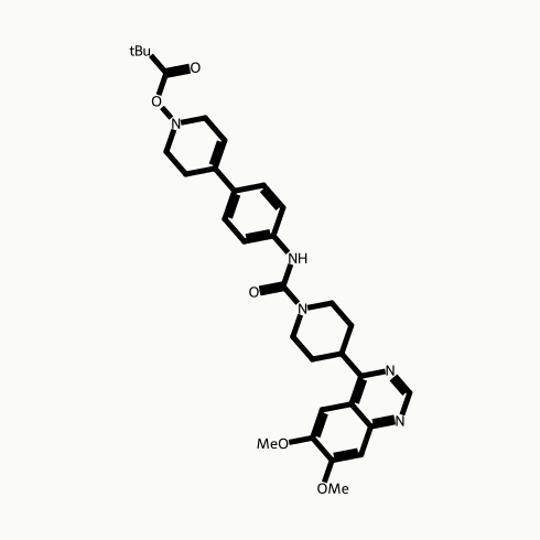 COc1cc2ncnc(C3CCN(C(=O)Nc4ccc(C5=CCN(OC(=O)C(C)(C)C)CC5)cc4)CC3)c2cc1OC